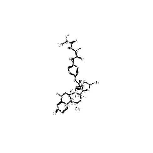 CCCC1O[C@@H]2C[C@@]3(C)[C@@H]4C[C@H](F)C5=CC(=O)C=C[C@]5(C)[C@@]4(F)[C@@H](O)C[C@]3(C)[C@]2(C(=O)COc2ccc(NC(=O)[C@H](C)NC(=O)[C@@H](N)C(C)C)cc2)O1